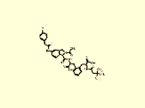 CC(=O)N1Cc2cc(NC(=O)Cc3ccc(Cl)cc3)ccc2C1C(=O)NC(Cc1ccccc1CC(NC(=O)CC(C)(C)C)C(=O)O)C(=O)O